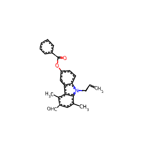 C=CCn1c2ccc(OC(=O)c3ccccc3)cc2c2c(C)c(C=O)cc(C)c21